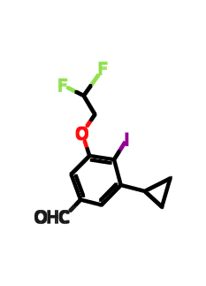 O=Cc1cc(OCC(F)F)c(I)c(C2CC2)c1